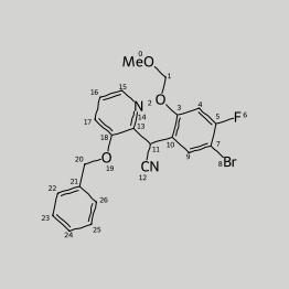 COCOc1cc(F)c(Br)cc1C(C#N)c1ncccc1OCc1ccccc1